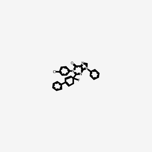 O=c1c2ncn(-c3ccccc3)c2nc(C2(F)C=CC(c3ccccc3)=CC2)n1-c1ccc(Cl)cc1